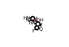 COc1cc(F)cc2c1C(C)(C)CC(O)(C(F)(F)F)C2Nc1cccc2[nH]ncc12